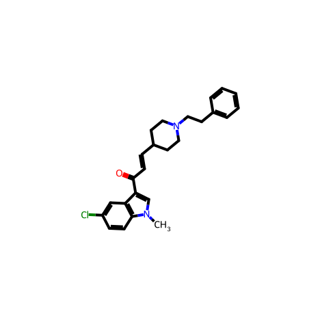 Cn1cc(C(=O)/C=C/C2CCN(CCc3ccccc3)CC2)c2cc(Cl)ccc21